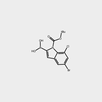 CC(C)(C)OC(=O)n1c(B(O)O)cc2cc(Br)cc(Cl)c21